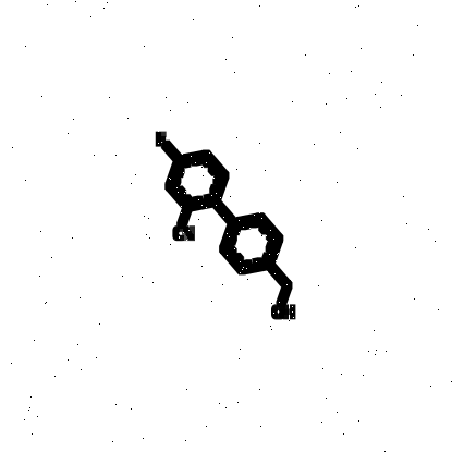 N#Cc1cc(F)ccc1-c1ccc(CO)cc1